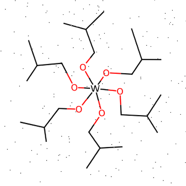 CC(C)C[O][W]([O]CC(C)C)([O]CC(C)C)([O]CC(C)C)([O]CC(C)C)[O]CC(C)C